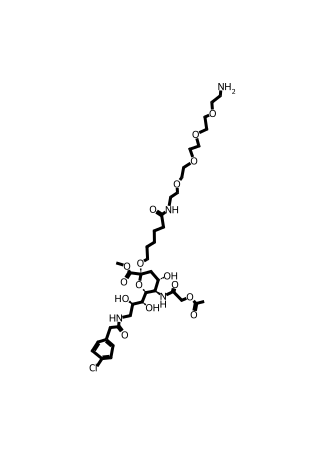 COC(=O)[C@@]1(OCCCCCC(=O)NCCOCCOCCOCCOCCN)C[C@H](O)[C@@H](NC(=O)COC(C)=O)[C@H]([C@H](O)[C@H](O)CNC(=O)Cc2ccc(Cl)cc2)O1